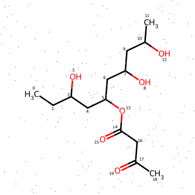 CCC(O)CC(CC(O)CC(C)O)OC(=O)CC(C)=O